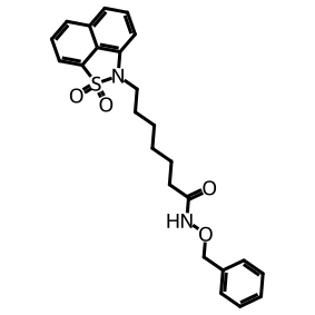 O=C(CCCCCCN1c2cccc3cccc(c23)S1(=O)=O)NOCc1ccccc1